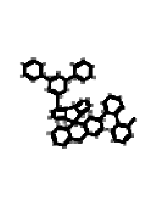 Cc1ccncc1-c1ccccc1-c1ccc2c(c1)C1(c3ccccc3S2)c2ccccc2-c2c(-c3cc(-c4ccccc4)nc(-c4ccccc4)n3)cccc21